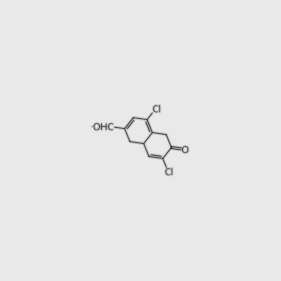 O=[C]C1=CC(Cl)=C2CC(=O)C(Cl)=CC2C1